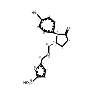 CC(C)(C)c1ccc(N2C(=O)CC[C@@H]2COCc2ccc(C(=O)O)o2)cc1